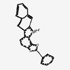 C1=CC2=Cc3[nH]c4c(ccc5nc(-c6ccccc6)oc54)c3CC2C=C1